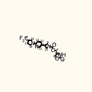 O=C1N[C@H](COC(=O)N2CC(c3ccc(N4CCC(C(F)(F)F)C4)nc3)C2)CO1